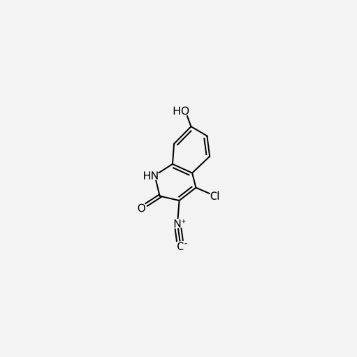 [C-]#[N+]c1c(Cl)c2ccc(O)cc2[nH]c1=O